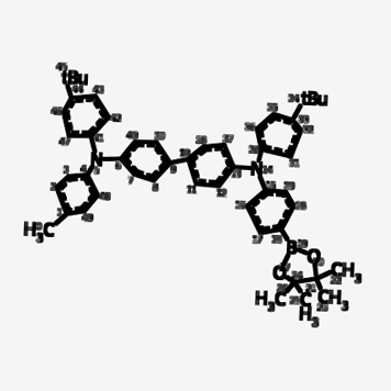 Cc1ccc(N(c2ccc(-c3ccc(N(c4ccc(B5OC(C)(C)C(C)(C)O5)cc4)c4ccc(C(C)(C)C)cc4)cc3)cc2)c2ccc(C(C)(C)C)cc2)cc1